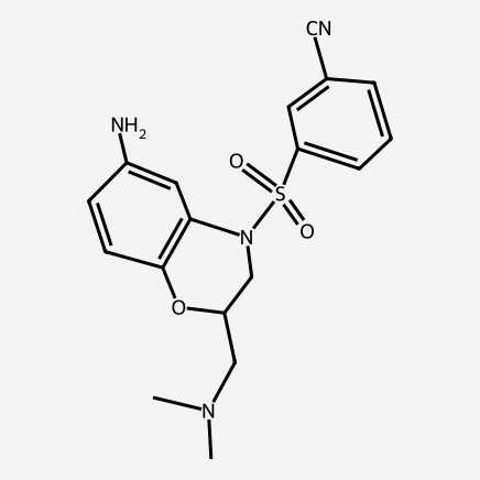 CN(C)CC1CN(S(=O)(=O)c2cccc(C#N)c2)c2cc(N)ccc2O1